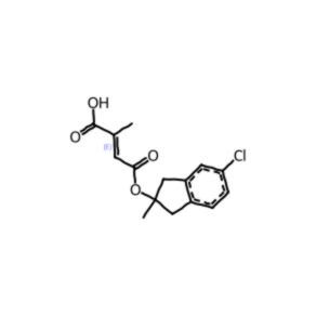 C/C(=C\C(=O)OC1(C)Cc2ccc(Cl)cc2C1)C(=O)O